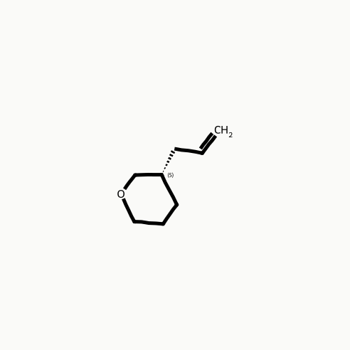 C=CC[C@@H]1CCCOC1